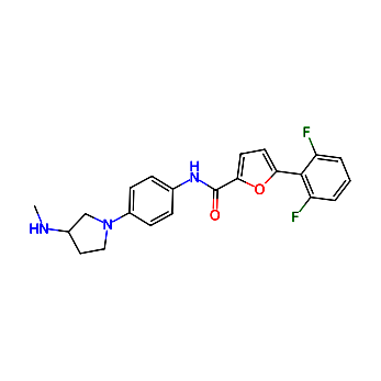 CNC1CCN(c2ccc(NC(=O)c3ccc(-c4c(F)cccc4F)o3)cc2)C1